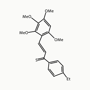 CCc1ccc(C(=S)C=Cc2c(OC)cc(OC)c(OC)c2OC)cc1